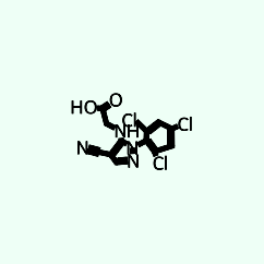 N#Cc1cnn(-c2c(Cl)cc(Cl)cc2Cl)c1NCC(=O)O